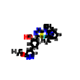 COc1cc(-c2ccc(-c3nnc(N(C)[C@@H]4CC5CC[C@](C)(N5)[C@@H]4F)s3)c(O)c2)cnn1